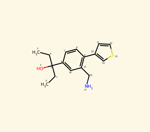 CCC(O)(CC)c1ccc(-c2c[c]sc2)c(CN)c1